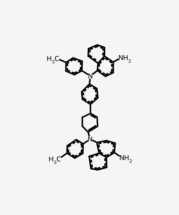 Cc1ccc(N(C2=CC=C(c3ccc(N(c4ccc(C)cc4)c4ccc(N)c5ccccc45)cc3)CC2)c2ccc(N)c3ccccc23)cc1